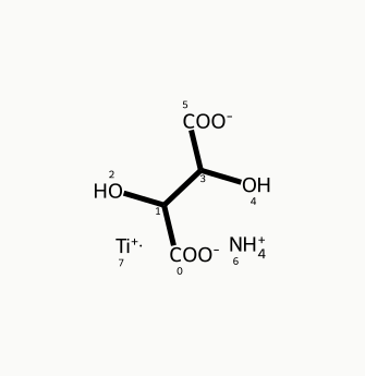 O=C([O-])C(O)C(O)C(=O)[O-].[NH4+].[Ti+]